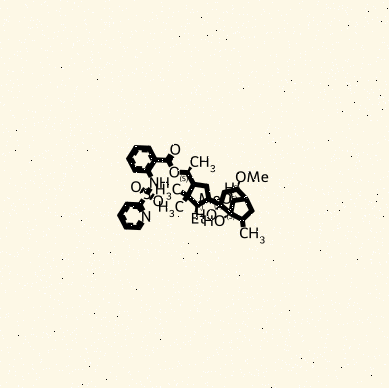 CC[C@@H]1C([C@@]2(O)C[C@H](OC)C3CC(C)[C@]2(O)[C@H]3OC)CC([C@H](C)OC(=O)c2ccccc2NS(=O)(=O)c2ccccn2)C1(C)C